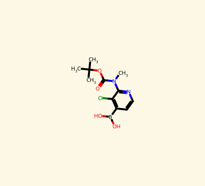 CN(C(=O)OC(C)(C)C)c1nccc(B(O)O)c1Cl